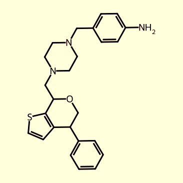 Nc1ccc(CN2CCN(CC3OCC(c4ccccc4)c4ccsc43)CC2)cc1